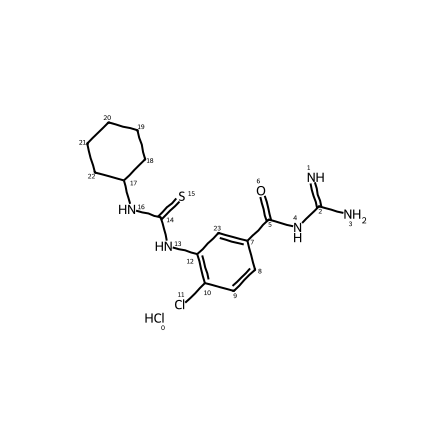 Cl.N=C(N)NC(=O)c1ccc(Cl)c(NC(=S)NC2CCCCC2)c1